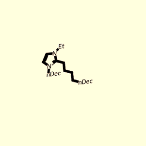 CCCCCCCCCCCCCCc1n(CC)cc[n+]1CCCCCCCCCC